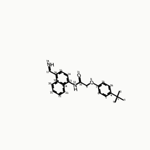 CC(C)(C)c1ccc(OCC(=O)Nc2ccc(C=N)c3ccccc23)cc1